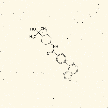 CC(C)(O)[C@H]1CC[C@H](NC(=O)c2ccc(-c3nccc4occc34)cc2)CC1